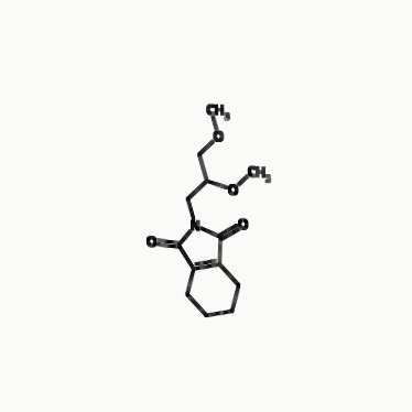 COCC(CN1C(=O)C2=C(CCCC2)C1=O)OC